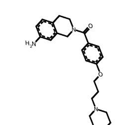 Nc1ccc2c(c1)CN(C(=O)c1ccc(OCCCN3CCCCC3)cc1)CC2